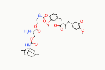 COc1ccc(C[C@H]2COC(=O)[C@@H]2Cc2ccc(OC(=O)N(C)CCOC(=O)[C@@H](N)COC(=O)NC34CC5CC(C)(CC(C)(C5)C3)C4)c(OC)c2)cc1OC